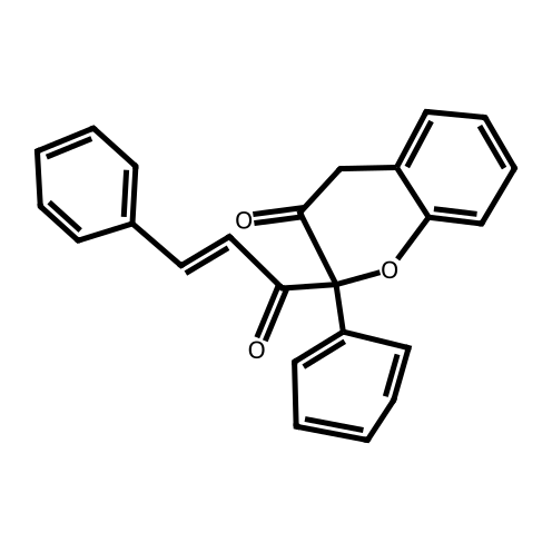 O=C(C=Cc1ccccc1)C1(c2ccccc2)Oc2ccccc2CC1=O